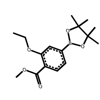 CCOc1cc(B2OC(C)(C)C(C)(C)O2)ccc1C(=O)OC